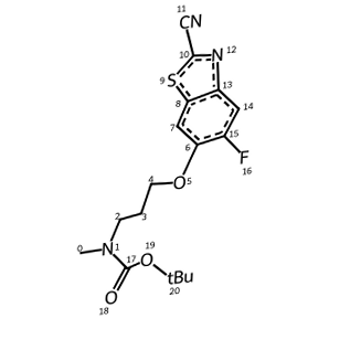 CN(CCCOc1cc2sc(C#N)nc2cc1F)C(=O)OC(C)(C)C